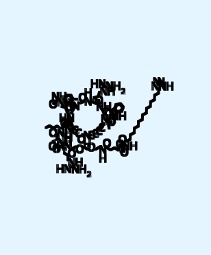 CCCC[C@H](NC(=O)[C@H](CO)NC(=O)[C@H](CCCNC(=N)N)NC(=O)COCCOCCNC(=O)CCCS(=O)(=O)NC(=O)CCCCCCCCCCCCCCCc1nnn[nH]1)C(=O)N[C@H]1CCC(=O)NCCCC[C@@H](C(C)=O)NC(=O)[C@H](Cc2c[nH]c3ccccc23)NC(=O)[C@H](CCCNC(=N)N)NC(=O)[C@@H](Cc2ccccc2)NC(=O)[C@H](CCCNC(N)=O)NC1=O